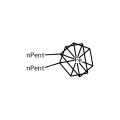 CCCCC[C]12[CH]3[CH]4[CH]5[CH]1[Fe]45321678[CH]2[CH]1[CH]6[C]7(CCCCC)[CH]28